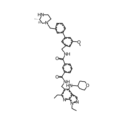 CCc1nc2c(cnn2CC)c(NC2CCOCC2)c1CNC(=O)c1cccc(C(=O)NCc2cc(OC)cc(-c3cccc(CN4CCN[C@@H](C)C4)c3)c2)c1